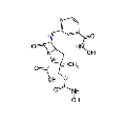 C[C@@]1(COC(=O)NO)CC2/C(=C\c3cc(C(=O)NO)ccn3)C(=O)N2[C@H]1C(=O)O